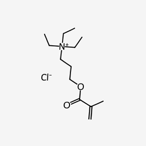 C=C(C)C(=O)OCCC[N+](CC)(CC)CC.[Cl-]